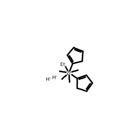 C[CH2][Zr]([CH3])([CH3])([CH3])([CH3])([C]1=CC=CC1)[C]1=CC=CC1.[H-].[H-]